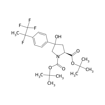 CC(C)(C)OC(=O)[C@@H]1CC(O)(c2ccc(C(C)(F)C(F)(F)F)cc2)CN1C(=O)OC(C)(C)C